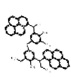 CCc1cc(Sc2cc(C)c(O)c(C(C)c3ccc4ccc5cccc6ccc3c4c56)c2)cc(C(CC)c2ccc3ccc4cccc5ccc2c3c45)c1O